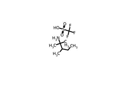 CCC(C)C(C)(C)N.O=S(=O)(O)C(F)(F)F